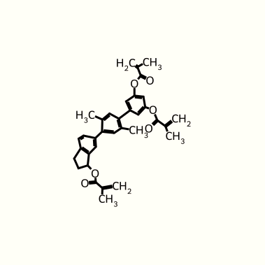 C=C(C)C(=O)Oc1cc(OC(=O)C(=C)C)cc(-c2cc(C)c(-c3ccc4c(c3)C(OC(=O)C(=C)C)CC4)cc2C)c1